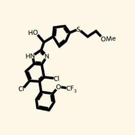 COCCSc1ccc(C(O)c2nc3c(Cl)c(-c4ccccc4OC(F)(F)F)c(Cl)cc3[nH]2)cc1